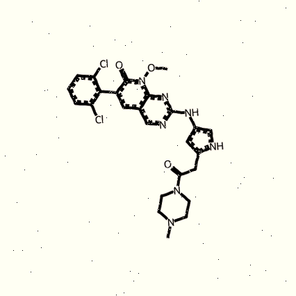 COn1c(=O)c(-c2c(Cl)cccc2Cl)cc2cnc(Nc3c[nH]c(CC(=O)N4CCN(C)CC4)c3)nc21